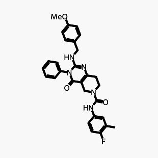 COc1ccc(CNc2nc3c(c(=O)n2-c2ccccc2)CN(C(=O)Nc2ccc(F)c(C)c2)CC3)cc1